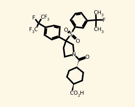 CC(C)(F)c1cccc(S(=O)(=O)C2(c3ccc(C(F)(C(F)(F)F)C(F)(F)F)cc3)CCN(C(=O)[C@H]3CC[C@H](C(=O)O)CC3)C2)c1